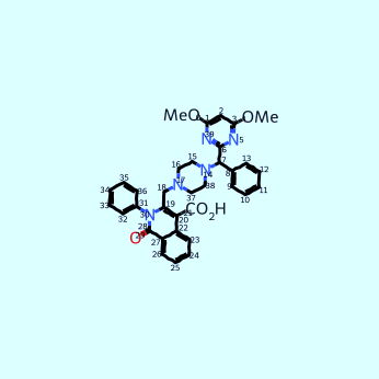 COc1cc(OC)nc(C(c2ccccc2)N2CCN(Cc3c(C(=O)O)c4ccccc4c(=O)n3-c3ccccc3)CC2)n1